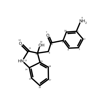 Nc1cccc(C(=O)CC2(O)C(=O)Nc3ccccc32)c1